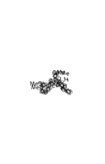 COc1ccc(CCN(Cc2ccc(Oc3ccccc3)cc2)C(=O)[C@H]2[C@H](C(=O)O)[C@H](C(=O)N(CCc3ccc(OC)c(OC)c3)Cc3ccc(Oc4ccccc4)cc3)[C@H]2C(=O)O)cc1OC